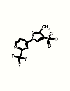 Cc1nn(-c2ccnc(C(F)(F)F)c2)cc1S(=O)(=O)Cl